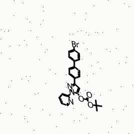 CC(C)(C)OC(=O)Oc1cc(-c2ccc(-c3ccc(Br)cc3)cc2)nn1-c1ccccn1